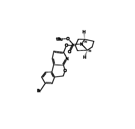 CC(C)(C)OC(=O)N1[C@@H]2CC[C@H]1CC(Oc1ccc3c(n1)OCc1cc(Br)ccc1-3)C2